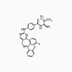 CN(C)C(=N)NC(=O)c1ccc(Nc2ncc3c(n2)-c2ccc(I)cc2C(c2ccccc2F)=NC3)cc1